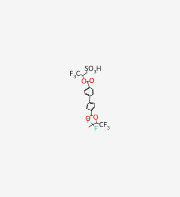 CC(F)(F)C(OC(=O)c1ccc(-c2ccc(C(=O)OC(CS(=O)(=O)O)C(F)(F)F)cc2)cc1)C(F)(F)F